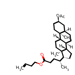 C=CCCOC(=O)CC[C@@H](C)[C@H]1CC[C@H]2[C@@H]3CC[C@@H]4C[C@H](OC(C)=O)CC[C@]4(C)[C@H]3CC[C@]12C